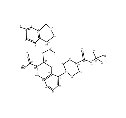 Cc1cnc2c(c1)CCC[C@@H]2N(C)CC1Cc2c(cccc2N2CCN(C(=O)OC(C)(C)C)CC2)CN1C(=O)O